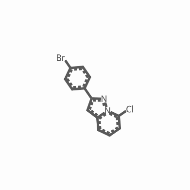 Clc1cccc2cc(-c3ccc(Br)cc3)nn12